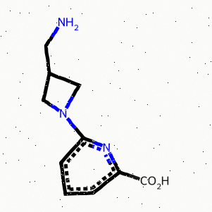 NCC1CN(c2cccc(C(=O)O)n2)C1